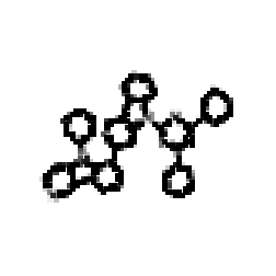 c1ccc(-c2nc(-c3ccccc3)nc(-n3c4ccccc4c4ccc(-c5cccc6c7cnccc7n(-c7ccccc7)c56)cc43)n2)cc1